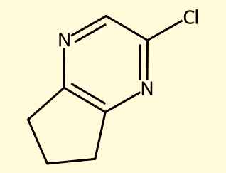 Clc1cnc2c(n1)CCC2